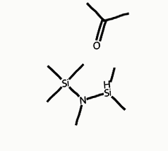 CC(C)=O.CN([SiH](C)C)[Si](C)(C)C